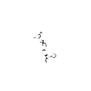 C=Cc1nn(C2CCCCO2)c2nc(N3CCC4(CN(c5cc(C(F)(F)F)nc(C)n5)C4)C3)cnc12